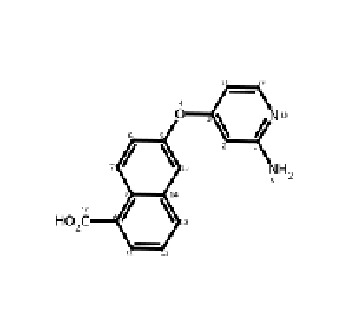 Nc1cc(Oc2ccc3c(C(=O)O)cccc3c2)ccn1